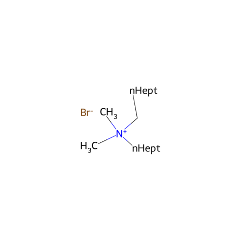 CCCCCCCC[N+](C)(C)CCCCCCC.[Br-]